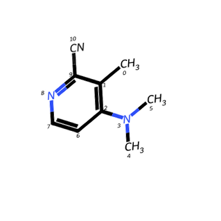 Cc1c(N(C)C)ccnc1C#N